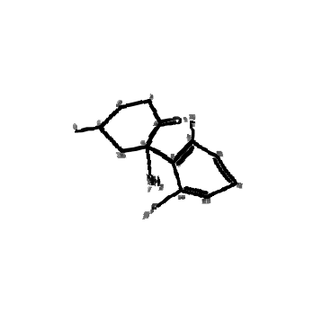 CC1CCC(=O)C(N)(c2c(F)cccc2F)C1